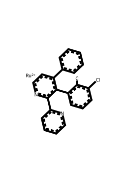 Clc1cccc(-c2c(-c3ccccc3)ccnc2-c2ccccn2)c1Cl.[Ru+2]